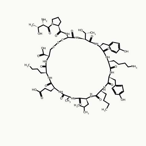 CCCC[C@@H]1NC(=O)[C@H](Cc2ccc(O)cc2)NC(=O)[C@H](CCCCN)NC(=O)[C@H](Cc2ccc(O)cc2)NC(=O)[C@H]([C@@H](C)O)NC(=O)[C@H](NC(=O)[C@@H]2CCCN2C(=O)[C@@H](N)[C@@H](C)O)CSSC[C@H](C(=O)O)NC(=O)[C@H](CCCC)NC(=O)[C@H](CCC(=O)O)NC(=O)[C@H](C)NC(=O)[C@H](CC(C)C)NC1=O